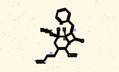 O=C([O-])/C=C/C1=C(C(=O)[O-])N2C(=O)/C(=C/c3ccccn3)[C@@H]2S(=O)(=O)C1.[Na+].[Na+]